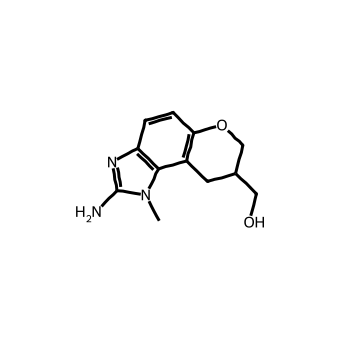 Cn1c(N)nc2ccc3c(c21)CC(CO)CO3